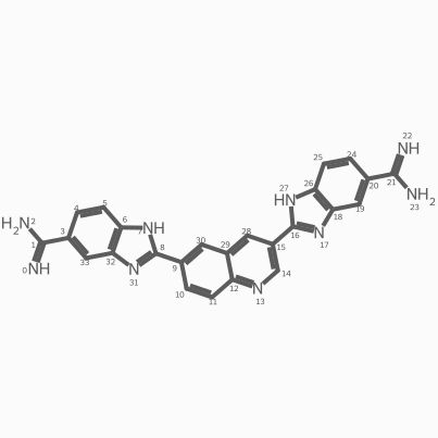 N=C(N)c1ccc2[nH]c(-c3ccc4ncc(-c5nc6cc(C(=N)N)ccc6[nH]5)cc4c3)nc2c1